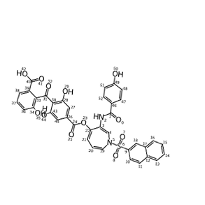 O=C(NC1=CN(S(=O)(=O)c2ccc3ccccc3c2)C=CC=C1OC(=O)c1cc(O)c(C(=O)c2c(O)cccc2C(=O)O)c(O)c1)c1ccc(O)cc1